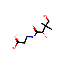 CC(C)(CO)[C@H](O)C(=O)NCCC(=O)O